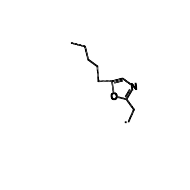 [CH2]Cc1ncc(CCCCC)o1